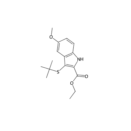 CCOC(=O)c1[nH]c2ccc(OC)cc2c1SC(C)(C)C